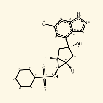 O=S(=O)(N[C@H]1[C@@H]2C[C@@](O)(c3cc(Cl)cc4[nH]ncc34)C[C@@H]21)C1CCCCC1